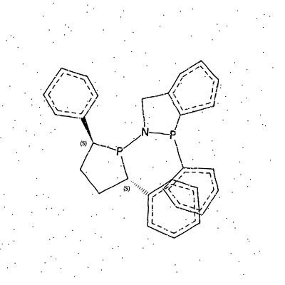 c1ccc([C@@H]2CC[C@@H](c3ccccc3)P2N2Cc3ccccc3P2c2ccccc2)cc1